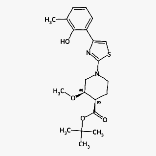 CO[C@H]1CN(c2nc(-c3cccc(C)c3O)cs2)CC[C@H]1C(=O)OC(C)(C)C